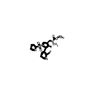 CN(Cc1cn(S(=O)(=O)c2ccccn2)c(-c2cccnc2F)c1F)C(=O)OC(C)(C)C